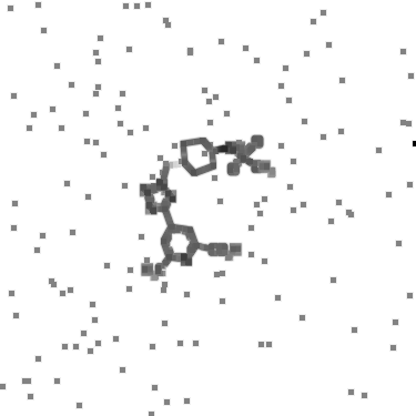 Cc1cc(-c2nnn(C[C@H]3CC[C@H](NS(C)(=O)=O)CC3)n2)cc(C(=O)O)n1